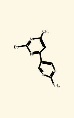 CCc1nc(C)cc(-c2cnc(N)nc2)n1